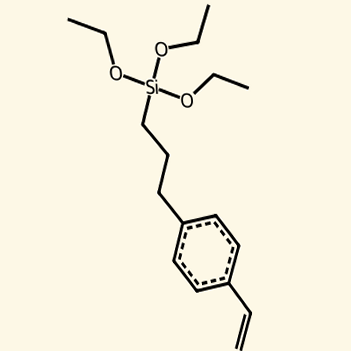 C=Cc1ccc(CCC[Si](OCC)(OCC)OCC)cc1